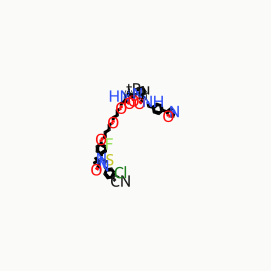 CC(C)(C)[C@H](NC(=O)COCCCOCCCCOc1ccc(N2C(=S)N(c3ccc(C#N)c(Cl)c3)C(=O)C2(C)C)cc1F)C(=O)N1CCC[C@H]1C(=O)NCc1ccc(-c2cnco2)cc1